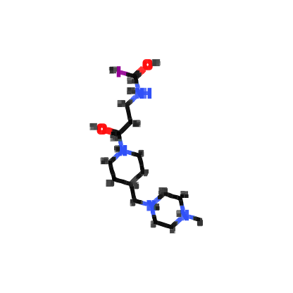 CN1CCN(CC2CCN(C(=O)CCNC(=O)I)CC2)CC1